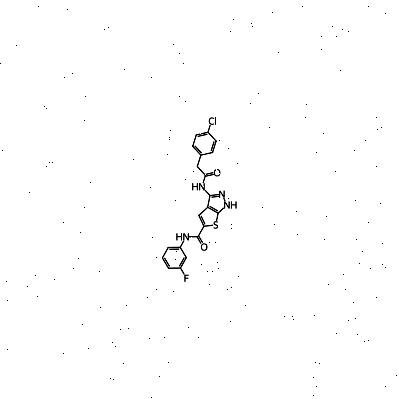 O=C(Cc1ccc(Cl)cc1)Nc1n[nH]c2sc(C(=O)Nc3cccc(F)c3)cc12